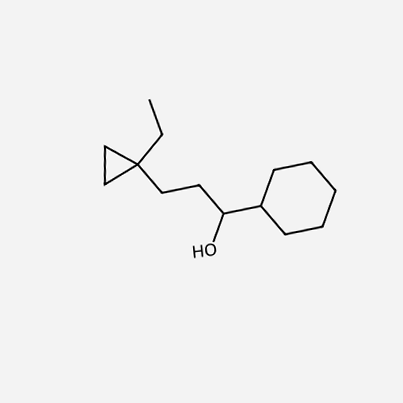 CCC1(CCC(O)C2CCCCC2)CC1